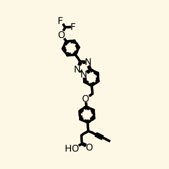 CC#CC(CC(=O)O)c1ccc(OCc2ccc3nc(-c4ccc(OC(F)F)cc4)nn3c2)cc1